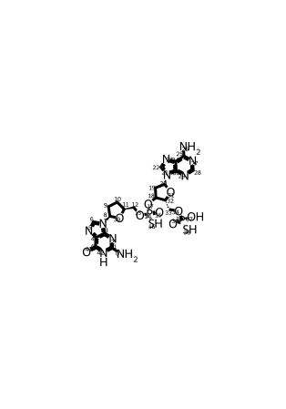 Nc1nc2c(ncn2[C@H]2CC[C@@H](COP(=O)(S)OC3C[C@H](n4cnc5c(N)ncnc54)O[C@@H]3COP(=O)(O)S)O2)c(=O)[nH]1